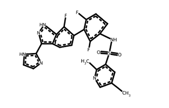 Cc1cnc(C)c(S(=O)(=O)Nc2ccc(F)c(-c3ccc4c(-c5ncc[nH]5)n[nH]c4c3F)c2F)c1